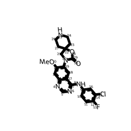 COc1cc2ncnc(Nc3ccc(F)c(Cl)c3)c2cc1N1CC2(CCNCC2)OC1=O